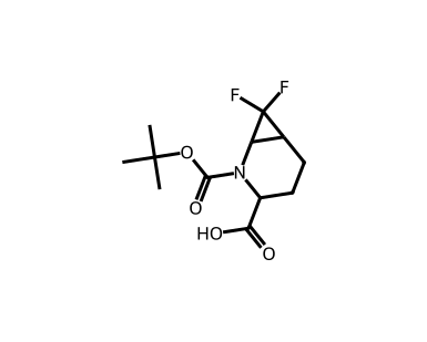 CC(C)(C)OC(=O)N1C(C(=O)O)CCC2C1C2(F)F